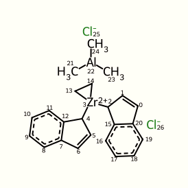 C1=C[CH]([Zr+2]2([CH]3C=Cc4ccccc43)[CH2][CH2]2)c2ccccc21.[CH3][Al]([CH3])[CH3].[Cl-].[Cl-]